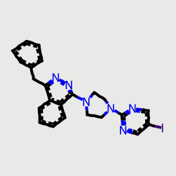 Ic1cnc(N2CCN(c3nnc(Cc4ccccc4)c4ccccc34)CC2)nc1